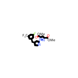 COC(=O)c1cc(C(=O)OC)n(-c2cc(Cc3cc(F)cc(C(F)(F)F)c3)ccn2)n1